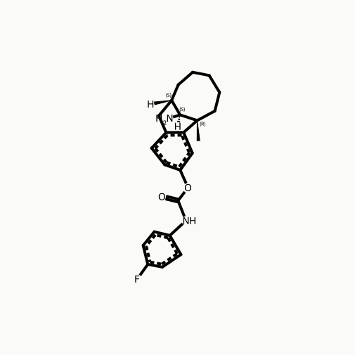 C[C@@]12CCCCC[C@@H](Cc3ccc(OC(=O)Nc4ccc(F)cc4)cc31)[C@@H]2N